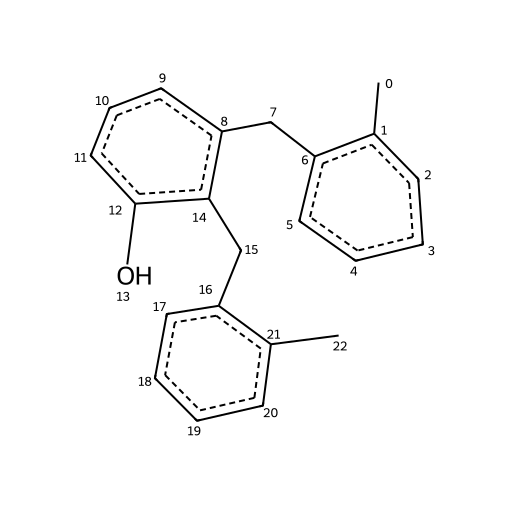 Cc1ccccc1Cc1cccc(O)c1Cc1ccccc1C